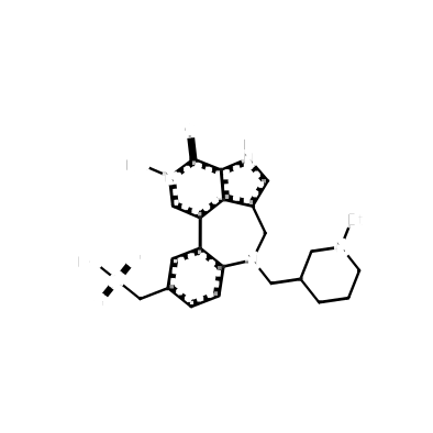 CCN1CCCC(CN2Cc3c[nH]c4c(=O)n(C)cc(c34)-c3cc(CS(C)(=O)=O)ccc32)C1